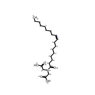 CCCCCCCC/C=C\CCCCCCCC(=O)N(CC(=O)O)CC(=O)O